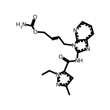 CCn1nc(C)cc1C(=O)Nc1nc2cccnc2n1CC=CCOC(N)=O